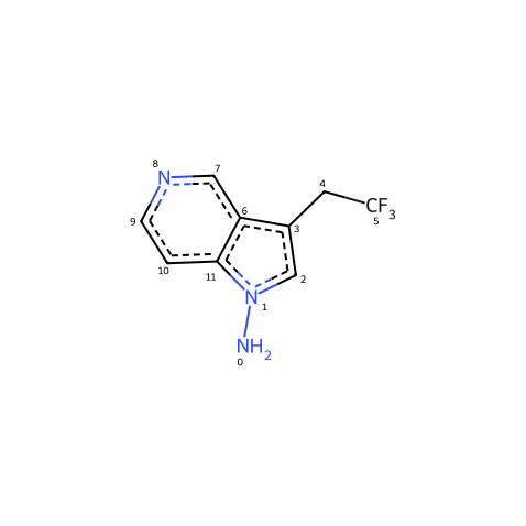 Nn1cc(CC(F)(F)F)c2cnccc21